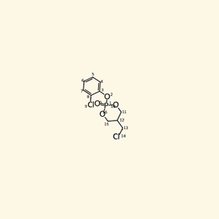 O=P1(Oc2ccccc2Cl)OCC([CH]Cl)CO1